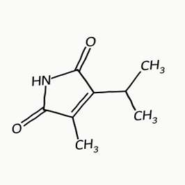 CC1=C(C(C)C)C(=O)NC1=O